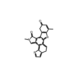 CC1=CC(=O)CC2=C1N=c1c2c2c(c3c1=CCC1=CC=NC=31)=CN(C)C2=O